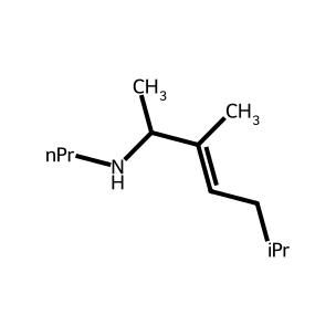 CCCNC(C)/C(C)=C/CC(C)C